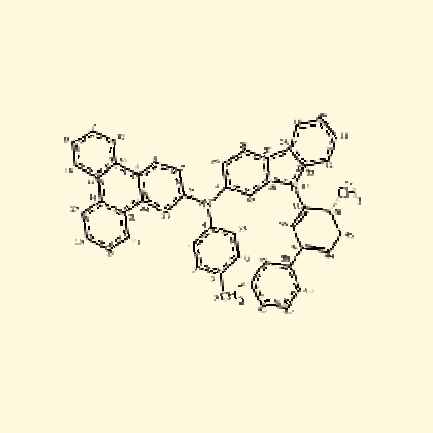 Cc1ccc(N(c2ccc3c4ccccc4c4ccccc4c3c2)c2ccc3c4ccccc4n(C4=CC(c5ccccc5)=CC[C@H]4C)c3c2)cc1